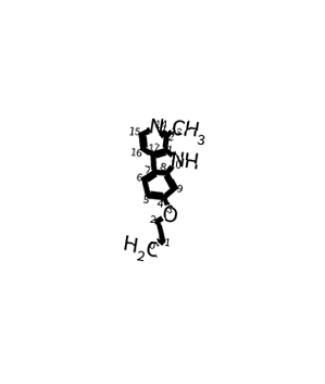 C=CCOc1ccc2c(c1)[nH]c1c(C)nccc12